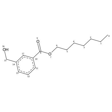 CCCCCCCOC(=O)c1cccc(CO)c1